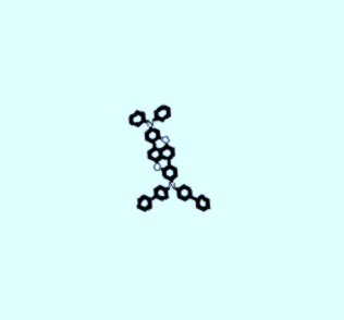 c1ccc(-c2ccc(N(c3ccc(-c4ccccc4)cc3)c3ccc4c(c3)Oc3ccc5c6c(ccc-4c36)Oc3cc(N(c4ccccc4)c4ccccc4)ccc3-5)cc2)cc1